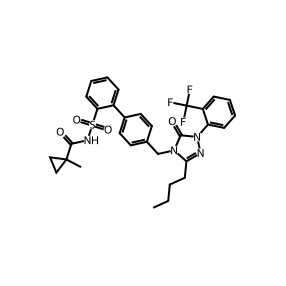 CCCCc1nn(-c2ccccc2C(F)(F)F)c(=O)n1Cc1ccc(-c2ccccc2S(=O)(=O)NC(=O)C2(C)CC2)cc1